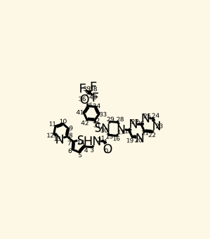 O=C(NCc1ccc(-c2ccccn2)s1)[C@H]1CN(c2cnc3cncnc3n2)CCN1Sc1ccc(OC(F)(F)F)cc1